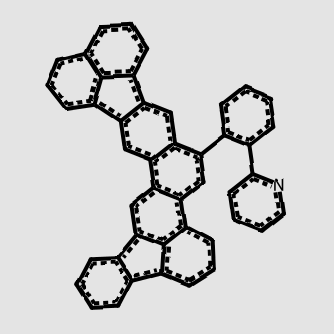 c1ccc(-c2ccccc2-c2cc3c(cc4c5ccccc5c5cccc3c54)c3cc4c(cc23)c2cccc3cccc4c32)nc1